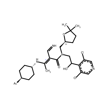 C/C(N[C@H]1CC[C@H](C(C)=O)CC1)=C(/C=N)C(=O)N(CC(O)c1c(Cl)cncc1Cl)C[C@@H]1CCC(C)(C)O1